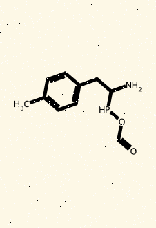 Cc1ccc(CC(N)POC=O)cc1